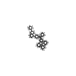 c1ccc(-c2ccc3c(-c4ccc(N(c5ccccc5)c5ccc6c(c5)-c5ccccc5C65c6ccccc6-c6ccccc65)cc4)cccc3c2)cc1